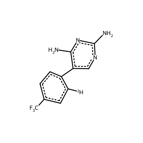 [2H]c1cc(C(F)(F)F)ccc1-c1cnc(N)nc1N